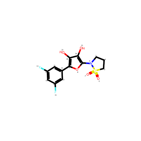 O=S1(=O)CCCN1c1oc(-c2cc(F)cc(F)c2)c(O)c1O